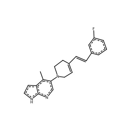 Cc1c(N2CC=C(C=Cc3cccc(F)c3)CC2)cnc2[nH]ccc12